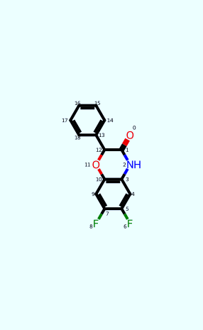 O=C1Nc2cc(F)c(F)cc2OC1c1ccccc1